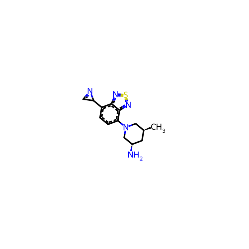 C[C@H]1C[C@@H](N)CN(c2ccc(C3C=N3)c3nsnc23)C1